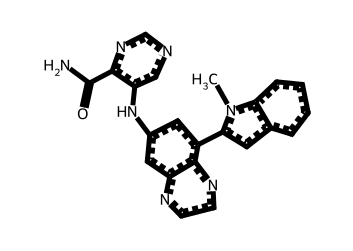 Cn1c(-c2cc(Nc3cncnc3C(N)=O)cc3nccnc23)cc2ccccc21